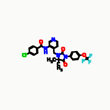 CC1(C)C(=O)N(c2ccc(OC(F)(F)F)cc2)C(=O)N1Cc1ccncc1NC(=O)c1ccc(Cl)cc1